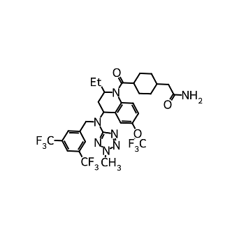 CCC1CC(N(Cc2cc(C(F)(F)F)cc(C(F)(F)F)c2)c2nnn(C)n2)c2cc(OC(F)(F)F)ccc2N1C(=O)C1CCC(CC(N)=O)CC1